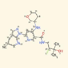 CC(C)(O)[C@@H](F)CNC(=O)c1cnc(-n2ncc3cc(C#N)cnc32)cc1NC1CCCOC1